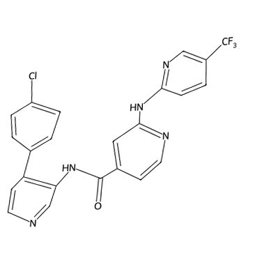 O=C(Nc1cnccc1-c1ccc(Cl)cc1)c1ccnc(Nc2ccc(C(F)(F)F)cn2)c1